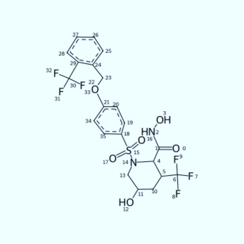 O=C(NO)C1C(C(F)(F)F)CC(O)CN1S(=O)(=O)c1ccc(OCc2ccccc2C(F)(F)F)cc1